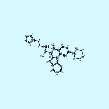 O=C(NCCn1cccc1)c1c(=O)c2ccc(N3CCOCC3)nc2n2c1sc1ccccc12